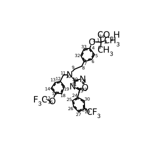 CC(C)(Oc1ccc(CCN(Cc2ccc(OC(F)(F)F)cc2)c2noc(-c3cccc(C(F)(F)F)c3)n2)cc1)C(=O)O